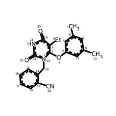 CCc1c(Oc2cc(C)cc(C)c2)n(Cc2ccccc2C#N)c(=O)[nH]c1=O